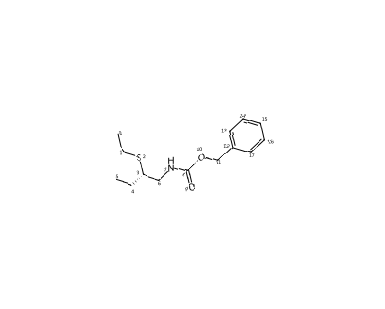 CCS[C@@H](CC)CNC(=O)OCc1ccccc1